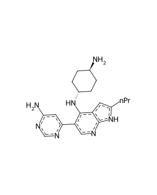 CCCc1cc2c(N[C@H]3CC[C@H](N)CC3)c(-c3cc(N)ncn3)cnc2[nH]1